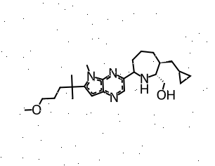 COCCCC(C)(C)c1cc2ncc(C3CCC[C@@H](CC4CC4)[C@H](CO)N3)nc2n1C